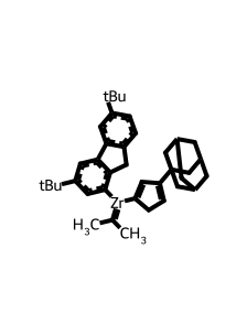 C[C](C)=[Zr]([C]1=CC(C23CC4CC(CC(C4)C2)C3)=CC1)[c]1cc(C(C)(C)C)cc2c1Cc1ccc(C(C)(C)C)cc1-2